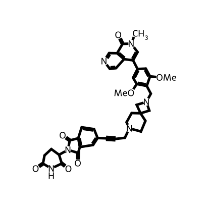 COc1cc(-c2cn(C)c(=O)c3cnccc23)cc(OC)c1CN1CC2(CCN(CC#Cc3ccc4c(c3)C(=O)N(C3CCC(=O)NC3=O)C4=O)CC2)C1